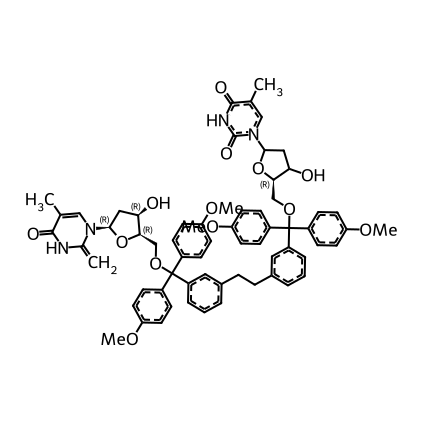 C=C1NC(=O)C(C)=CN1[C@H]1C[C@@H](O)[C@@H](COC(c2ccc(OC)cc2)(c2ccc(OC)cc2)c2cccc(CCc3cccc(C(OC[C@H]4OC(n5cc(C)c(=O)[nH]c5=O)CC4O)(c4ccc(OC)cc4)c4ccc(OC)cc4)c3)c2)O1